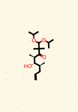 C=CC[C@H](C)[C@H](O)[C@@H](C)C(=O)C(C)(C)C(OC(C)C)OC(C)C